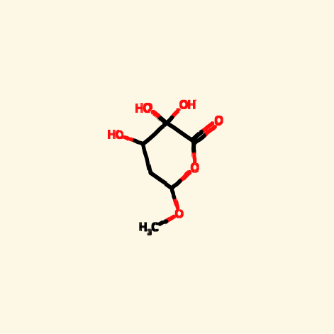 COC1CC(O)C(O)(O)C(=O)O1